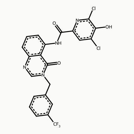 O=C(Nc1cccc2ncn(Cc3cccc(C(F)(F)F)c3)c(=O)c12)c1cc(Cl)c(O)c(Cl)n1